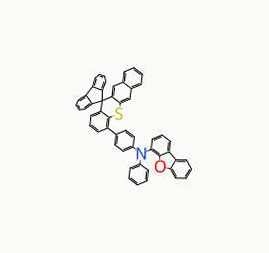 c1ccc(N(c2ccc(-c3cccc4c3Sc3cc5ccccc5cc3C43c4ccccc4-c4ccccc43)cc2)c2cccc3c2oc2ccccc23)cc1